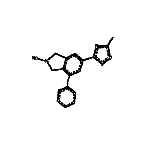 Cc1nc(-c2cc3c(c(-c4ccccc4)c2)CN(C#N)C3)no1